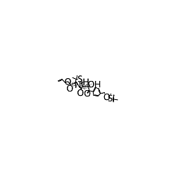 C=CCOC(=O)[C@@H]1N2C(=O)[C@@H]([C@H](O)C(=O)c3ccc(CO[Si](C)(C)C(C)(C)C)cc3)[C@H]2SC1(C)C